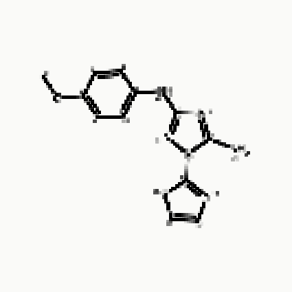 COc1ccc(Nc2nc(N)n(-c3nccs3)n2)cc1